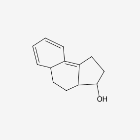 OC1CCC2=C3C=CC=CC3CCC21